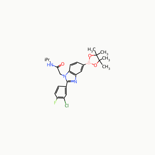 CC(C)NC(=O)Cn1c(-c2ccc(F)c(Cl)c2)nc2cc(B3OC(C)(C)C(C)(C)O3)ccc21